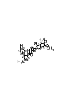 COc1cc2c(cc1OC)C(=O)N(c1nc(C(=O)Nc3cnc(C)cc3N3CCNCC3)cs1)C2